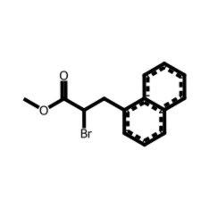 COC(=O)C(Br)Cc1cccc2ccccc12